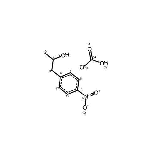 CC(O)Cc1ccc([N+](=O)[O-])cc1.O=C(O)Cl